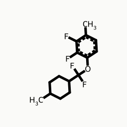 Cc1ccc(OC(F)(F)C2CCC(C)CC2)c(F)c1F